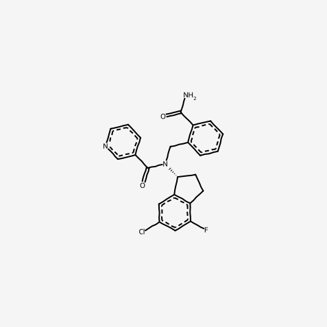 NC(=O)c1ccccc1CN(C(=O)c1cccnc1)[C@@H]1CCc2c(F)cc(Cl)cc21